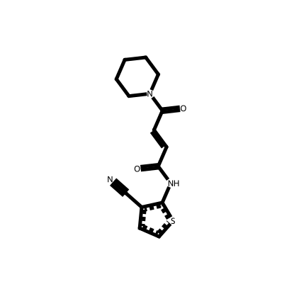 N#Cc1ccsc1NC(=O)C=CC(=O)N1CCCCC1